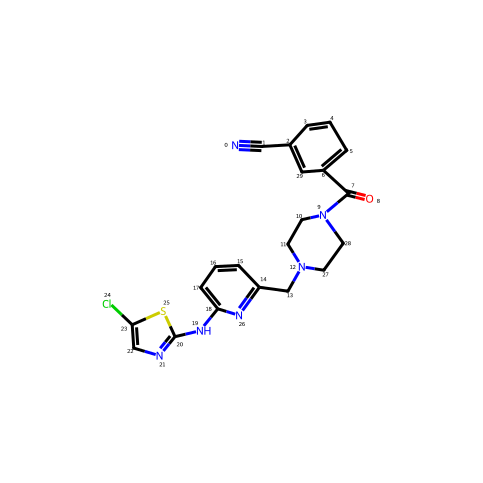 N#Cc1cccc(C(=O)N2CCN(Cc3cccc(Nc4ncc(Cl)s4)n3)CC2)c1